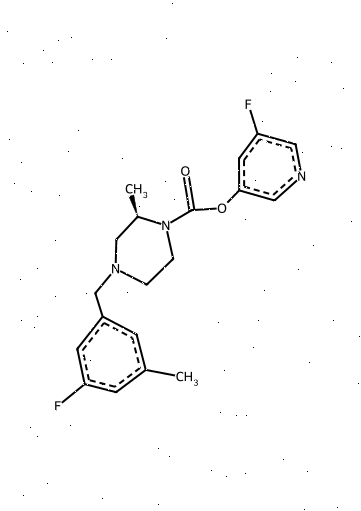 Cc1cc(F)cc(CN2CCN(C(=O)Oc3cncc(F)c3)[C@H](C)C2)c1